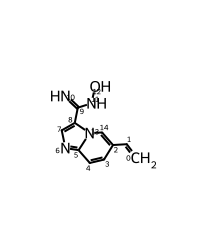 C=Cc1ccc2ncc(C(=N)NO)n2c1